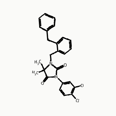 CC1(C)C(=O)N(c2ccc(Cl)c(Cl)c2)C(=O)N1Cc1ccccc1Cc1ccccc1